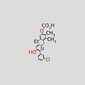 CCc1cc(OCC(=O)O)c(C)c(C)c1Cc1ccc(O)c(-c2cccc(Cl)c2)n1